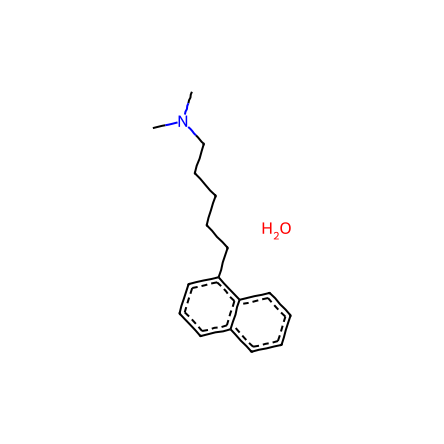 CN(C)CCCCCc1cccc2ccccc12.O